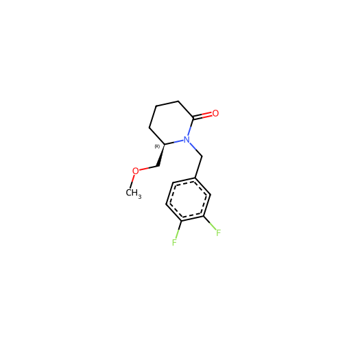 COC[C@H]1CCCC(=O)N1Cc1ccc(F)c(F)c1